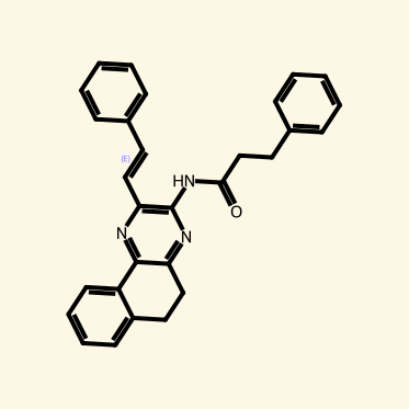 O=C(CCc1ccccc1)Nc1nc2c(nc1/C=C/c1ccccc1)-c1ccccc1CC2